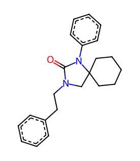 O=C1N(CCc2ccccc2)CC2(CCCCC2)N1c1ccccc1